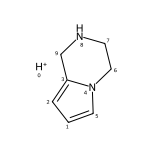 [H+].c1cc2n(c1)CCNC2